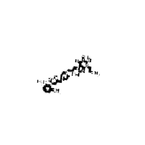 CCCn1c(=O)n(C)c(=O)c2c1ncn2CC(O)CN1CCN(CC(O)C[S+]([O-])c2c(C)cccc2C)CC1